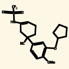 COc1ccc(C2(C#N)CCC=C(NS(=O)(=O)C(F)(F)F)C2)cc1OC1CCCC1